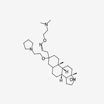 CN(C)CCO/N=C\CC1(OCCN2CCCC2)CC[C@@]2(C)C(CC[C@@H]3[C@H]2CC[C@]2(C)CCC[C@@]32O)C1